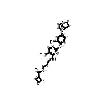 O=C(NCCCNc1nc(Nc2ccc(N3CCN4CCC3C4)cc2Br)ncc1C(F)(F)F)C1CCC1